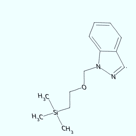 C[Si](C)(C)CCOCn1n[c]c2ccccc21